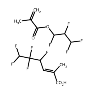 C=C(C)C(=O)OC(F)C(F)C(F)F.CC(=CC(F)C(F)(F)C(F)F)C(=O)O